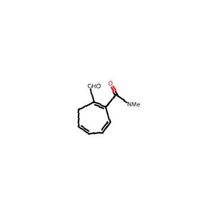 CNC(=O)C1=C(C=O)CC=CC=C1